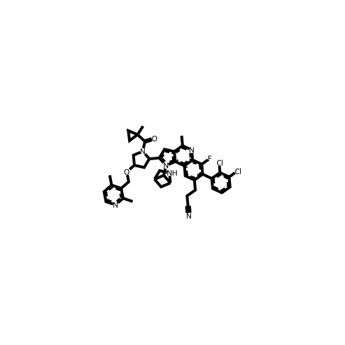 Cc1ccnc(C)c1COC1CC(c2cc3c(C)nc4c(F)c(-c5cccc(Cl)c5Cl)c(CCC#N)cc4c3n2C2C3CNC2C3)N(C(=O)C2(C)CC2)C1